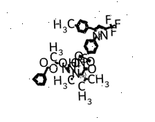 Cc1ccc(-c2cc(C(F)(F)F)nn2-c2ccc(S(=O)(=O)NC(=O)[C@H](C(C)C)N(C)[N+]([O-])=NOC(C)OC(=O)c3ccccc3)cc2)cc1